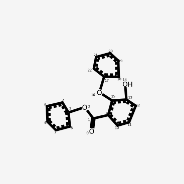 O=C(Oc1ccccc1)c1cccc(O)c1Oc1ccccc1